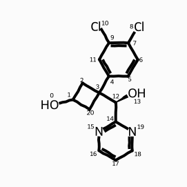 OC1CC(c2ccc(Cl)c(Cl)c2)([C@@H](O)c2ncccn2)C1